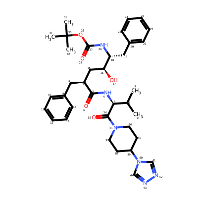 CC(C)[C@H](NC(=O)[C@@H](Cc1ccccc1)C[C@H](O)[C@@H](Cc1ccccc1)NC(=O)OC(C)(C)C)C(=O)N1CCC(n2cnnc2)CC1